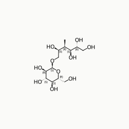 C[C@@H]([C@H](O)[C@H](O)CO)[C@H](O)CO[C@H]1O[C@H](CO)[C@@H](O)[C@H](O)[C@H]1O